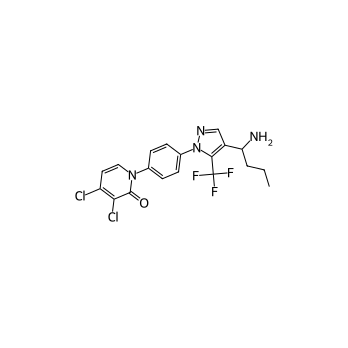 CCCC(N)c1cnn(-c2ccc(-n3ccc(Cl)c(Cl)c3=O)cc2)c1C(F)(F)F